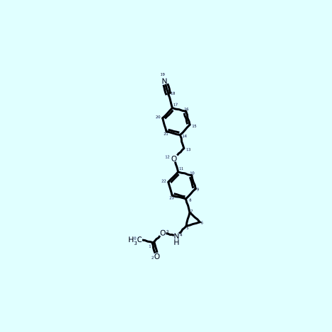 CC(=O)ONC1CC1c1ccc(OCc2ccc(C#N)cc2)cc1